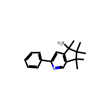 BC1(C)c2cc(-c3ccccc3)ncc2C(C)(C)C1(C)C